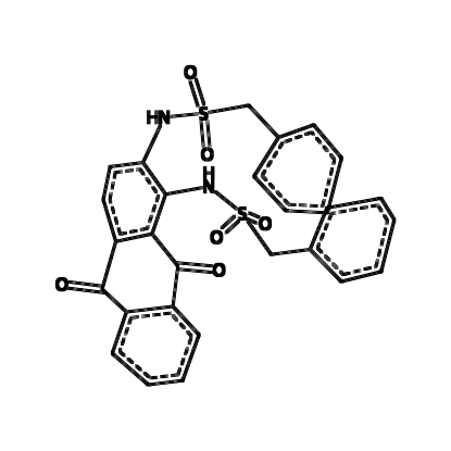 O=C1c2ccccc2C(=O)c2c1ccc(NS(=O)(=O)Cc1ccccc1)c2NS(=O)(=O)Cc1ccccc1